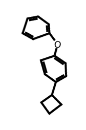 c1ccc(Oc2ccc(C3CCC3)cc2)cc1